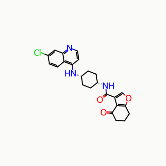 O=C(N[C@H]1CC[C@@H](Nc2ccnc3cc(Cl)ccc23)CC1)c1coc2c1C(=O)CCC2